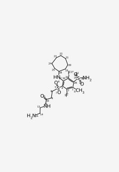 Cc1c(F)c(S(=O)(=O)CCC(=O)NCCN)c(NC2CCCCCCC2)c(F)c1S(N)(=O)=O